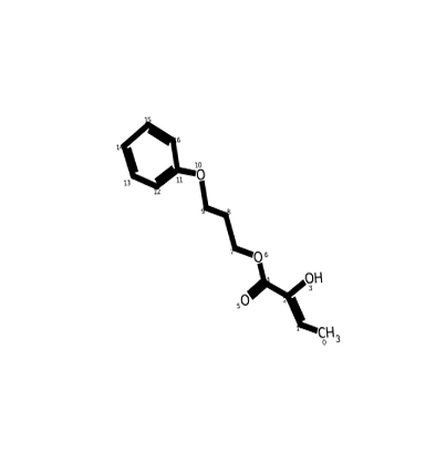 CC=C(O)C(=O)OCCCOc1ccccc1